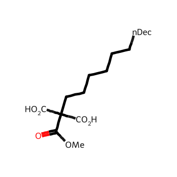 CCCCCCCCCCCCCCCCC(C(=O)O)(C(=O)O)C(=O)OC